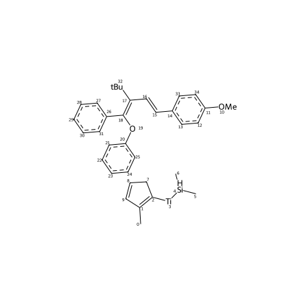 CC1=[C]([Ti][SiH](C)C)CC=C1.COc1ccc(C=CC(=C(Oc2ccccc2)c2ccccc2)C(C)(C)C)cc1